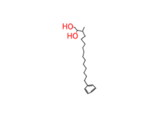 CC(CCCCCCCCCCCCc1ccccc1)C(O)CO